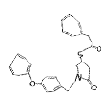 O=C(Cc1ccccc1)SC1CC(=O)N(Cc2ccc(Oc3ccccc3)cc2)C1